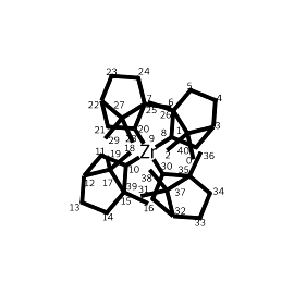 CC1(C)C2CCC1(C)[CH]([Zr]([CH]1CC3CCC1(C)C3(C)C)([CH]1CC3CCC1(C)C3(C)C)[CH]1CC3CCC1(C)C3(C)C)C2